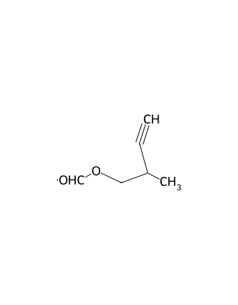 C#CC(C)CO[C]=O